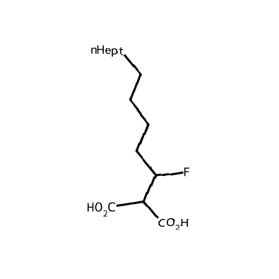 CCCCCCCCCCCC(F)C(C(=O)O)C(=O)O